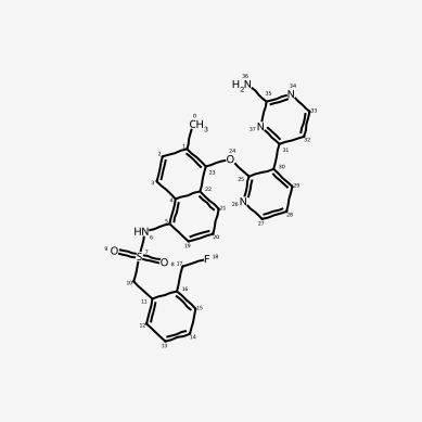 Cc1ccc2c(NS(=O)(=O)Cc3ccccc3CF)cccc2c1Oc1ncccc1-c1ccnc(N)n1